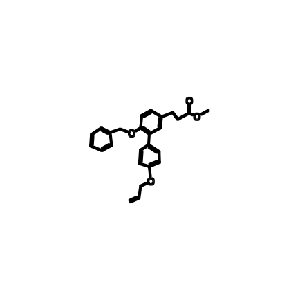 C=CCOc1ccc(-c2cc(CCC(=O)OC)ccc2OCc2ccccc2)cc1